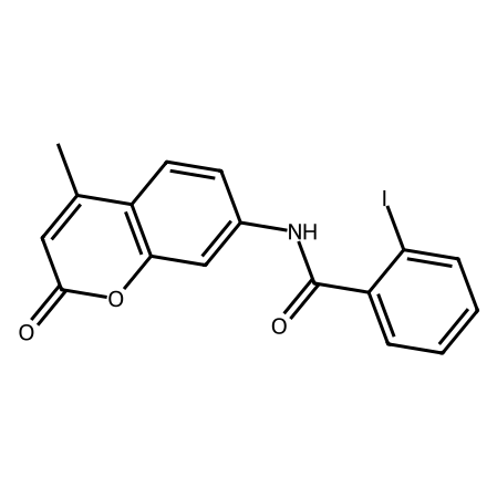 Cc1cc(=O)oc2cc(NC(=O)c3ccccc3I)ccc12